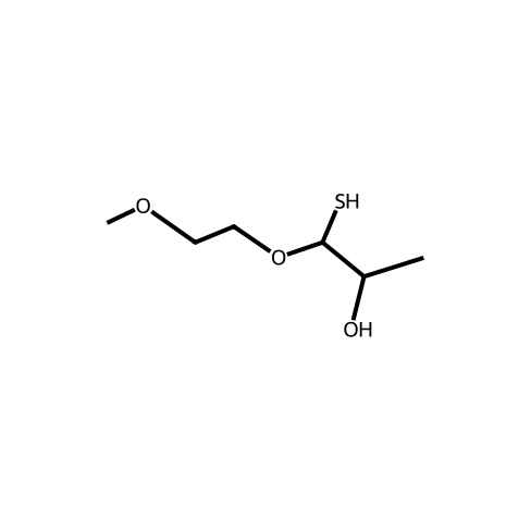 COCCOC(S)C(C)O